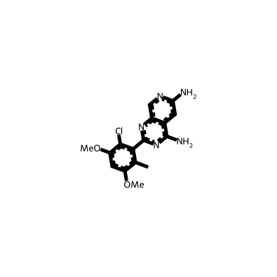 COc1cc(OC)c(Cl)c(-c2nc(N)c3cc(N)ncc3n2)c1C